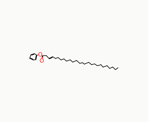 CCCCCCCCCCCCCCCCCCCCCCC=CCC(=O)Oc1ccccc1